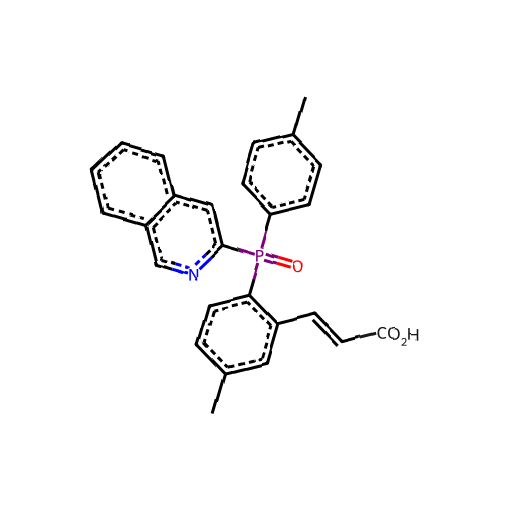 Cc1ccc(P(=O)(c2cc3ccccc3cn2)c2ccc(C)cc2/C=C/C(=O)O)cc1